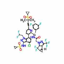 CC(C)(C#Cc1ccc(-c2ccc(Cl)c3c(NS(=O)(=O)C4CC4)nn(CC(F)F)c23)c([C@H](Cc2cc(F)cc(F)c2)NC(=O)Cn2nc(C(F)(F)F)c3c2C(F)(F)C2C[C@H]32)n1)S(=O)(=O)C1CC1